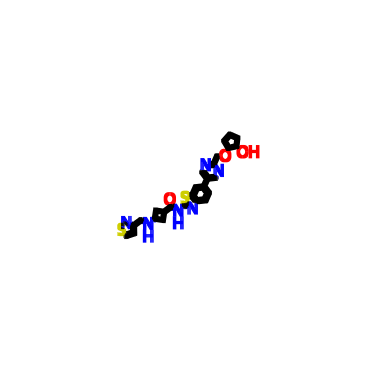 O=C(Nc1nc2ccc(-c3cnc(CO[C@H]4CCC[C@@H]4O)nc3)cc2s1)C1CC(NCc2ccsn2)C1